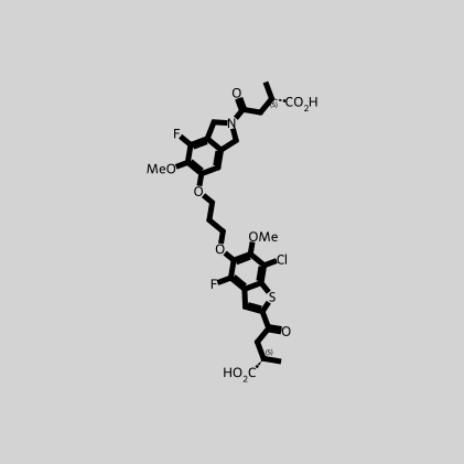 COc1c(OCCCOc2c(OC)c(Cl)c3sc(C(=O)C[C@H](C)C(=O)O)cc3c2F)cc2c(c1F)CN(C(=O)C[C@H](C)C(=O)O)C2